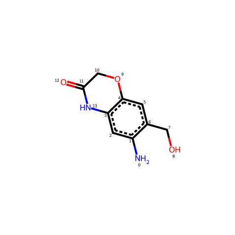 Nc1cc2c(cc1CO)OCC(=O)N2